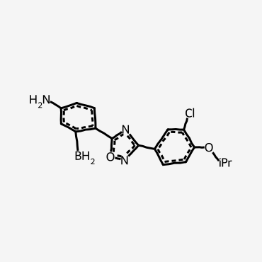 Bc1cc(N)ccc1-c1nc(-c2ccc(OC(C)C)c(Cl)c2)no1